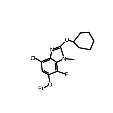 CCOc1cc(Cl)c2nc(OC3CCCCC3)n(C)c2c1F